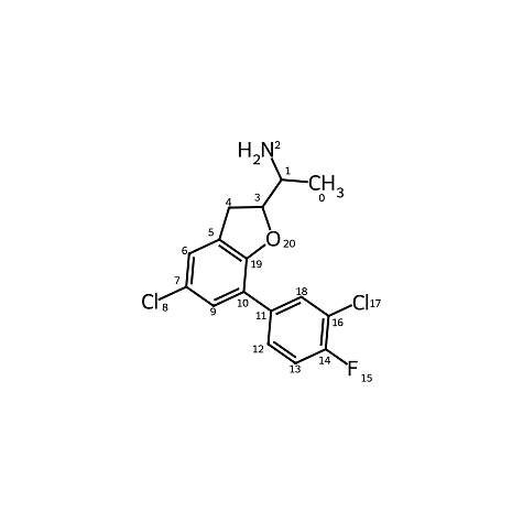 CC(N)C1Cc2cc(Cl)cc(-c3ccc(F)c(Cl)c3)c2O1